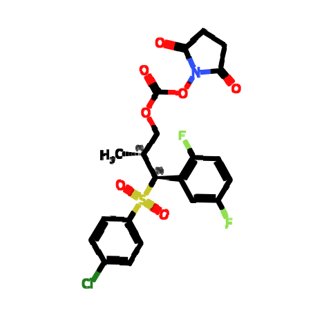 C[C@H](COC(=O)ON1C(=O)CCC1=O)[C@@H](c1cc(F)ccc1F)S(=O)(=O)c1ccc(Cl)cc1